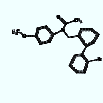 COc1ccc(N(Cc2ccccc2-c2ccccc2Br)C(C)=O)cc1